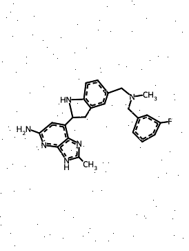 Cc1nc2c(C3Cc4cc(CN(C)Cc5cccc(F)c5)ccc4N3)cc(N)nc2[nH]1